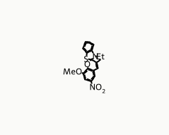 CCN1c2ccccc2SC12Oc1c(cc([N+](=O)[O-])cc1OC)C=C2C